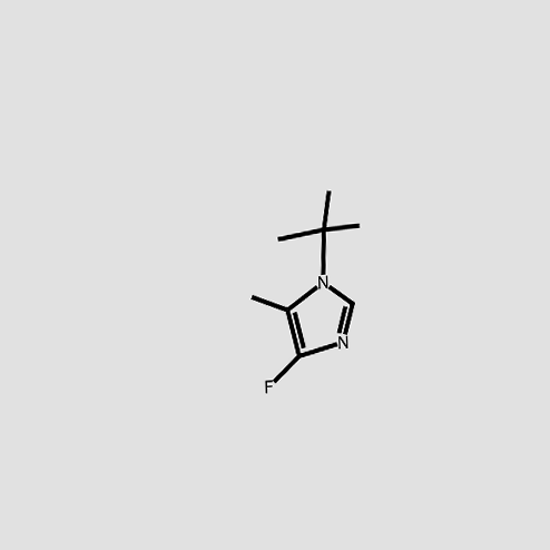 Cc1c(F)ncn1C(C)(C)C